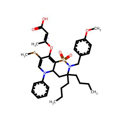 CCCCC1(CCCC)CC2C(=C(O/C(C)=C/C(=O)O)C(SC)=CN2c2ccccc2)S(=O)(=O)N1Cc1ccc(OC)cc1